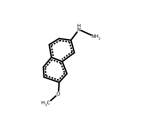 COc1ccc2ccc(NN)cc2c1